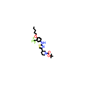 CCCCCOc1ccc(Nc2nc(C3CCCN(C(=O)OC(C)(C)C)C3)cs2)cc1C(F)(F)F